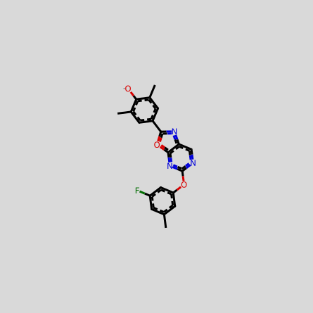 Cc1cc(F)cc(Oc2ncc3nc(-c4cc(C)c([O])c(C)c4)oc3n2)c1